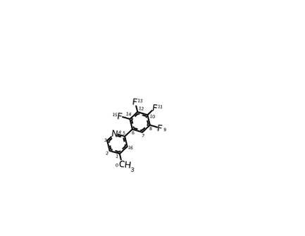 Cc1ccnc(-c2cc(F)c(F)c(F)c2F)c1